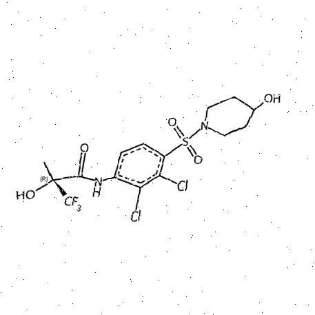 C[C@@](O)(C(=O)Nc1ccc(S(=O)(=O)N2CCC(O)CC2)c(Cl)c1Cl)C(F)(F)F